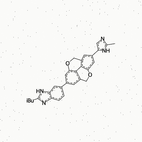 CCC(C)c1nc2ccc(-c3cc4c5c(c3)OCc3cc(-c6cnc(C)[nH]6)cc(c3-5)OC4)cc2[nH]1